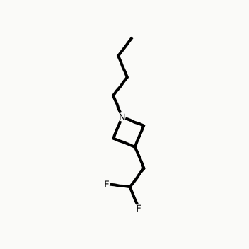 CCCCN1CC(CC(F)F)C1